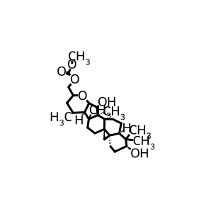 COC(=O)OCC1C[C@@H](C)[C@H]2C(O1)[C@H](O)[C@@]1(C)C3CC[C@H]4C(C)(C)[C@@H](O)CC[C@@]45C[C@@]35CC[C@]21C